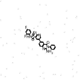 CCc1ncc(-c2ccc3nc(N)n(-c4ccccc4)c(=O)c3c2)cc1S(=O)(=O)Nc1ccc(F)cc1F